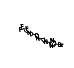 FC(F)(F)CN1CC(ON=C2CN(c3ncc(Br)cn3)C2)C1